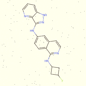 FC1CC(Nc2nccc3cc(Nc4n[nH]c5cccnc45)ccc23)C1